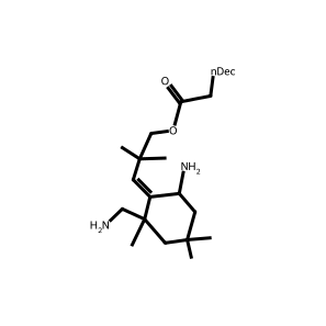 CCCCCCCCCCCC(=O)OCC(C)(C)C=C1C(N)CC(C)(C)CC1(C)CN